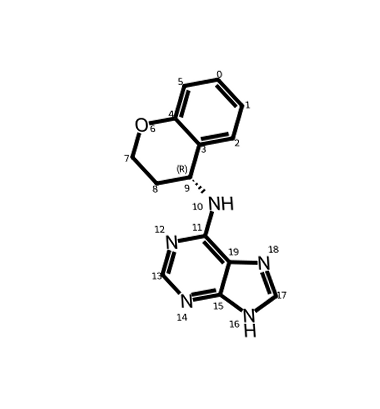 c1ccc2c(c1)OCC[C@H]2Nc1ncnc2[nH]cnc12